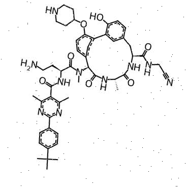 Cc1nc(-c2ccc(C(C)(C)C)cc2)nc(C)c1C(=O)N[C@@H](CCN)C(=O)N(C)[C@@H]1C(=O)N[C@@H](C)C(=O)N[C@H](C(=O)NCC#N)Cc2ccc(O)c(c2)-c2cc1ccc2OC1CCNCC1